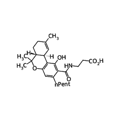 CCCCCc1cc2c(c(O)c1C(=O)NCCC(=O)O)[C@@H]1C=C(C)CC[C@H]1C(C)(C)O2